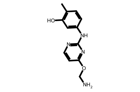 Cc1ccc(Nc2nccc(OCN)n2)cc1O